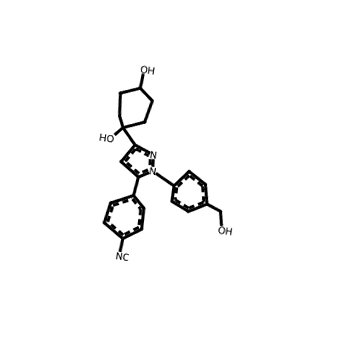 [C-]#[N+]c1ccc(-c2cc(C3(O)CCC(O)CC3)nn2-c2ccc(CO)cc2)cc1